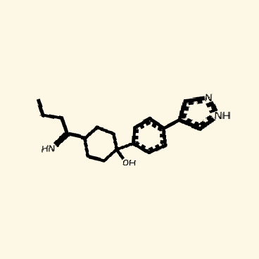 C[CH]CC(=N)C1CCC(O)(c2ccc(-c3cn[nH]c3)cc2)CC1